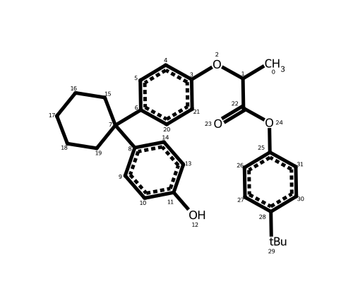 CC(Oc1ccc(C2(c3ccc(O)cc3)CCCCC2)cc1)C(=O)Oc1ccc(C(C)(C)C)cc1